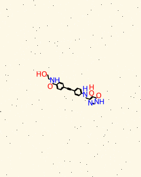 O=C(NCCO)c1ccc(C#Cc2ccc(NCc3nc[nH]c(=O)c3O)cc2)cc1